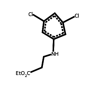 CCOC(=O)CCNc1cc(Cl)cc(Cl)c1